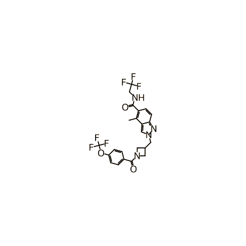 Cc1c(C(=O)NCC(F)(F)F)ccc2nn(CC3CN(C(=O)c4ccc(OC(F)(F)F)cc4)C3)cc12